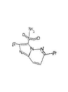 CCc1nc2ccc(C(C)C)nn2c1S(N)(=O)=O